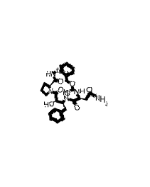 CC(C)(C)NC(=O)[C@@H]1CCCN1C(=O)[C@@H](O)[C@H](Cc1ccccc1)NC(=O)[C@H](CC(N)=O)NC(=O)OCc1ccccc1